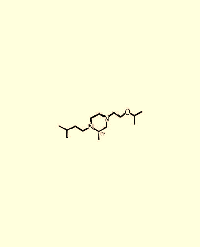 CC(C)CCN1CCN(CCOC(C)C)C[C@H]1C